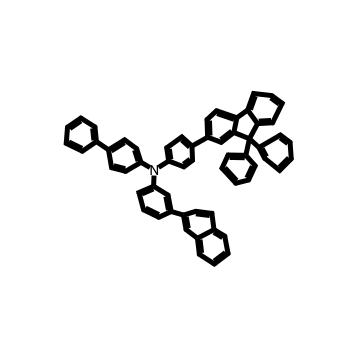 c1ccc(-c2ccc(N(c3ccc(-c4ccc5c(c4)C(c4ccccc4)(c4ccccc4)c4ccccc4-5)cc3)c3cccc(-c4ccc5ccccc5c4)c3)cc2)cc1